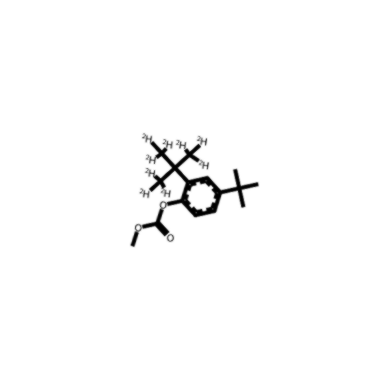 [2H]C([2H])([2H])C(c1cc(C(C)(C)C)ccc1OC(=O)OC)(C([2H])([2H])[2H])C([2H])([2H])[2H]